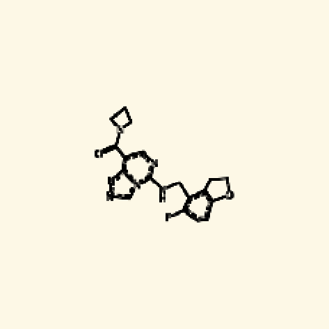 O=C(c1cnc(NCc2c(F)ccc3c2CCO3)n2cnnc12)N1CCC1